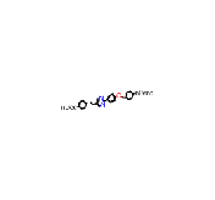 CCCCCCCCCC[C@H]1CC[C@H](CCc2cnc(-c3ccc(OCC4CCC(CCCCC)CC4)cc3)nc2)CC1